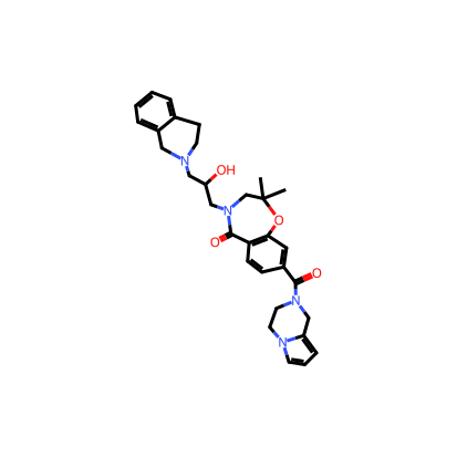 CC1(C)CN(CC(O)CN2CCc3ccccc3C2)C(=O)c2ccc(C(=O)N3CCn4cccc4C3)cc2O1